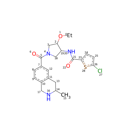 CCOC1CN(C(=O)c2ccc3c(c2)CC(C)NC3)CC1NC(=O)c1ccc(Cl)s1